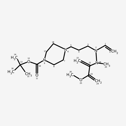 C=CN(CCCN1CCN(C(=O)OC(C)(C)C)CC1)N(C)C(=C)C(=C)OC